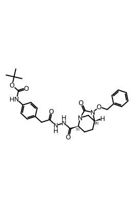 CC(C)(C)OC(=O)Nc1ccc(CC(=O)NNC(=O)[C@@H]2CC[C@@H]3CN2C(=O)N3OCc2ccccc2)cc1